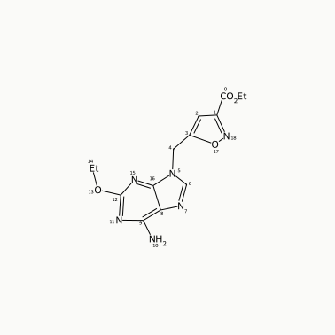 CCOC(=O)c1cc(Cn2cnc3c(N)nc(OCC)nc32)on1